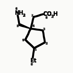 CCC1CC[C@@](CN)(CC(=O)O)C1